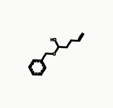 C=CCCC(O)OCc1ccccc1